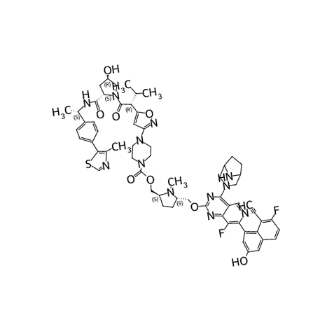 C#Cc1c(F)ccc2cc(O)cc(-c3ncc4c(N5CC6CCC(C5)N6)nc(OC[C@@H]5CC[C@@H](COC(=O)N6CCN(c7cc([C@H](C(=O)N8C[C@H](O)C[C@H]8C(=O)N[C@@H](C)c8ccc(-c9scnc9C)cc8)C(C)C)on7)CC6)N5C)nc4c3F)c12